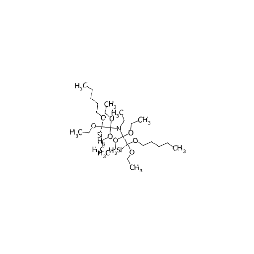 CCCCCOC([SiH3])(OCC)C(OCC)(OCC)N(CC)C(OCC)(OCC)C([SiH3])(OCC)OCCCCC